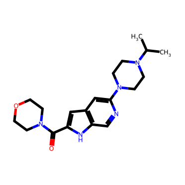 CC(C)N1CCN(c2cc3cc(C(=O)N4CCOCC4)[nH]c3cn2)CC1